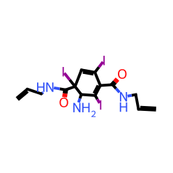 C=CCNC(=O)C1=C(I)C(N)C(I)(C(=O)NCC=C)C=C1I